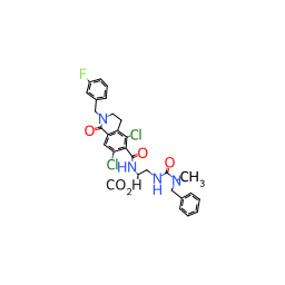 CN(Cc1ccccc1)C(=O)NC[C@H](NC(=O)c1c(Cl)cc2c(c1Cl)CCN(Cc1cccc(F)c1)C2=O)C(=O)O